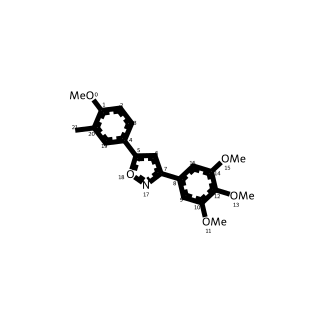 COc1ccc(-c2cc(-c3cc(OC)c(OC)c(OC)c3)no2)cc1C